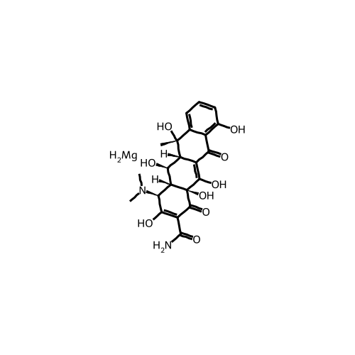 CN(C)[C@@H]1C(O)=C(C(N)=O)C(=O)[C@@]2(O)C(O)=C3C(=O)c4c(O)cccc4[C@@](C)(O)[C@H]3[C@H](O)[C@@H]12.[MgH2]